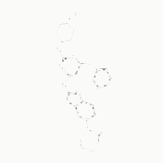 O=C1CCCCN1c1ccc2nc(Nc3cc(Cc4ccccc4)nc(N[C@H]4CC[C@H](O)CC4)n3)sc2c1